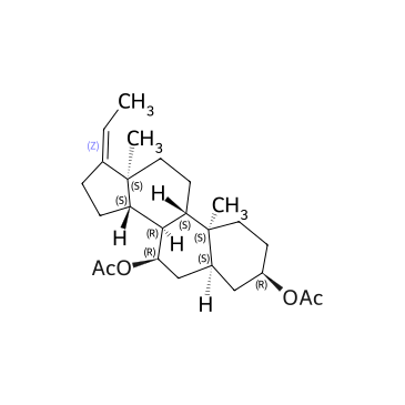 C/C=C1/CC[C@H]2[C@@H]3[C@H](OC(C)=O)C[C@@H]4C[C@H](OC(C)=O)CC[C@]4(C)[C@H]3CC[C@]12C